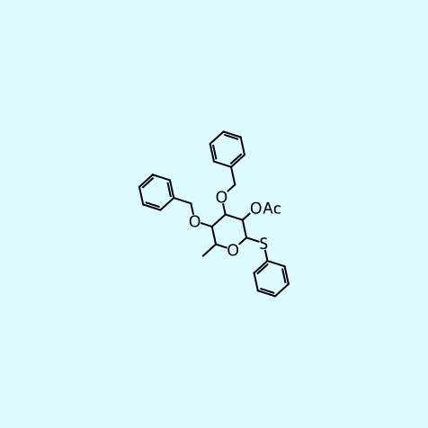 CC(=O)OC1C(Sc2ccccc2)OC(C)C(OCc2ccccc2)C1OCc1ccccc1